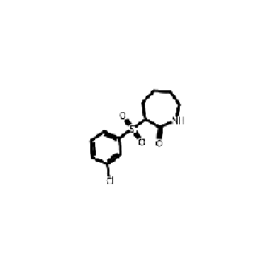 O=C1NCCCCC1S(=O)(=O)c1cccc(Cl)c1